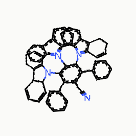 N#Cc1c(-c2ccccc2)c(N2C3=C(CCC=C3)C3C=CC=CC32)c(-n2c3ccccc3c3ccccc32)c(-n2c3c(c4ccccc42)CCC=C3)c1-c1ccccc1